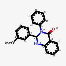 COc1cccc(C2Nc3ccccc3C(=O)N2c2ccccc2)c1